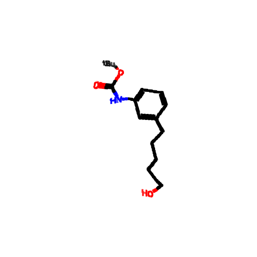 CC(C)(C)OC(=O)Nc1cccc(CCCCCO)c1